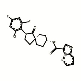 O=C(N[C@H]1CC[C@@]2(CCN(c3c(F)cc(F)cc3Cl)C2=O)CC1)c1cnc2cccnn12